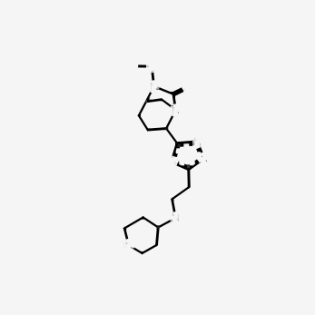 O=C1N2CC(CCC2c2nnc(CCNC3CCNCC3)o2)N1OS(=O)(=O)O